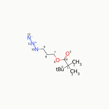 CC(C)(C)C(C)(C)C(=O)OCCCN=[N+]=[N-]